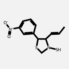 CC=CC1C(c2cccc([N+](=O)[O-])c2)SCN1S